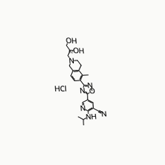 Cc1c(-c2noc(-c3cnc(NC(C)C)c(C#N)c3)n2)ccc2c1CCN(C[C@H](O)CO)C2.Cl